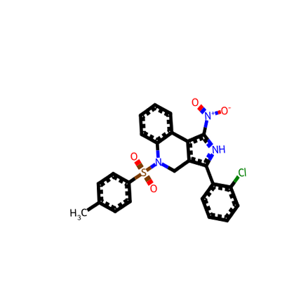 Cc1ccc(S(=O)(=O)N2Cc3c(-c4ccccc4Cl)[nH]c([N+](=O)[O-])c3-c3ccccc32)cc1